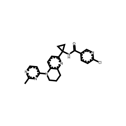 Cc1nccc(N2CCCc3nc(C4(NC(=O)c5ccc(Cl)nc5)CC4)ccc32)n1